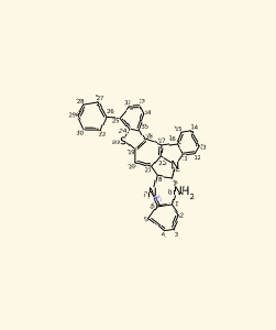 NC1C=CC=C/C1=N/C1Cn2c3ccccc3c3c4c(cc1c32)sc1c(-c2ccccc2)cccc14